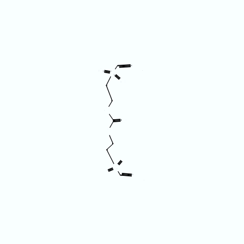 C=CS(=O)(=O)CCOC(=O)OCCS(=O)(=O)C=C